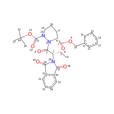 CC[C@@H](C(=O)N1[C@@H](C(=O)OCc2ccccc2)CCCN1C(=O)OC(C)(C)C)N1C(=O)c2ccccc2C1=O